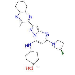 Cc1nc2c(nc1-c1cc3nc(N4CC[C@@H](F)C4)cc(N[C@H]4CC[C@](C)(O)CC4)n3n1)CCCC2